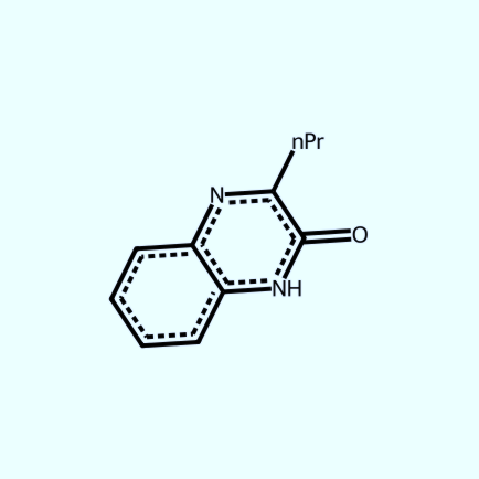 CCCc1nc2ccccc2[nH]c1=O